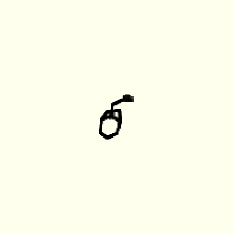 CC(C)(C)CN1C2CCCC1CC2